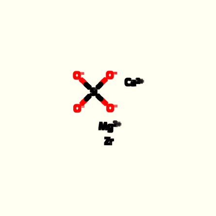 [Ca+2].[Mg+2].[O-][Si]([O-])([O-])[O-].[Zr]